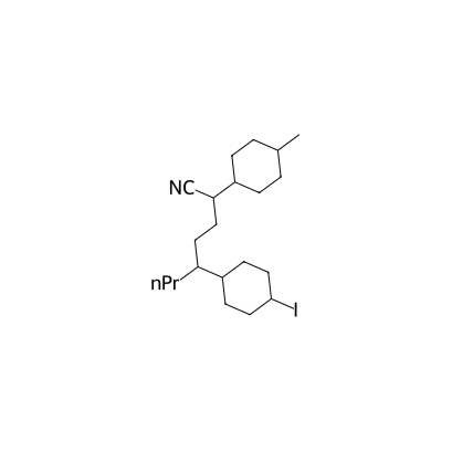 CCCC(CCC(C#N)C1CCC(C)CC1)C1CCC(I)CC1